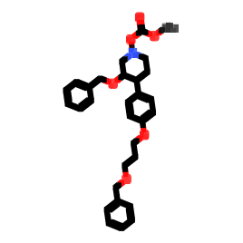 CC(C)(C)OC(=O)ON1CCC(c2ccc(OCCCOCc3ccccc3)cc2)C(OCc2ccccc2)C1